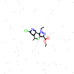 CCOC(=O)c1nn(CC)c(-c2cnc(Cl)cc2C(C)C)c1Cl